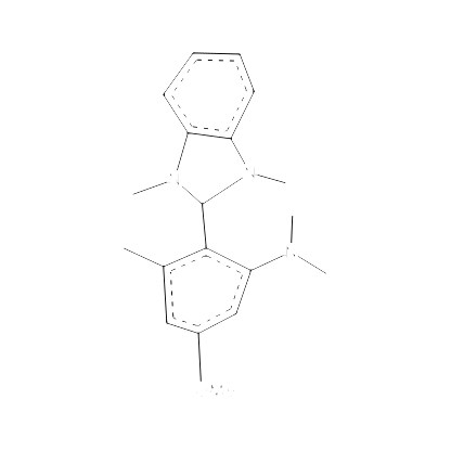 COc1cc(C)c(C2N(C)c3ccccc3N2C)c(N(C)C)c1